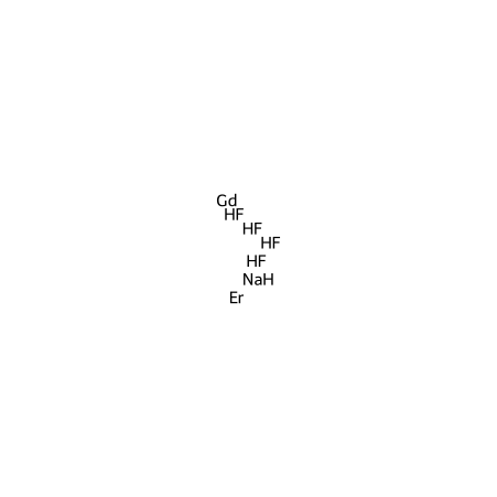 F.F.F.F.[Er].[Gd].[NaH]